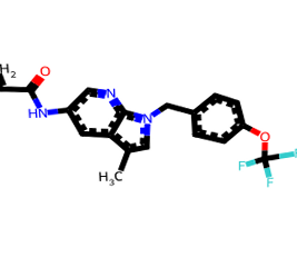 C=CC(=O)Nc1cnc2c(c1)c(C)cn2Cc1ccc(OC(F)(F)F)cc1